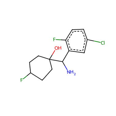 NC(c1cc(Cl)ccc1F)C1(O)CCC(F)CC1